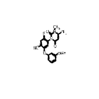 COc1cccc(Oc2cc(-n3c(=O)cc(C(F)(F)F)n(C)c3=O)c(F)cc2C#N)c1